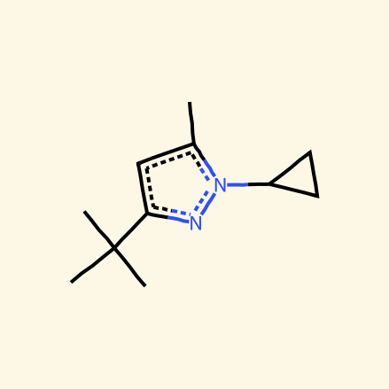 Cc1cc(C(C)(C)C)nn1C1CC1